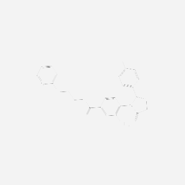 Cc1cc(C(=O)OCCOc2ccccn2)ccc1N1C(=O)CSC1c1ccc(F)cc1